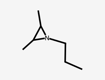 CCCN1C(C)C1C